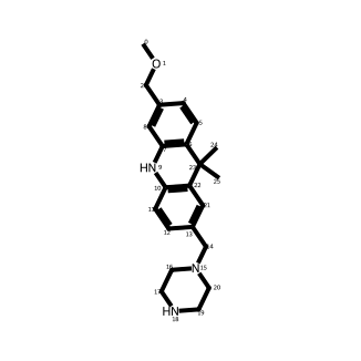 COCc1ccc2c(c1)Nc1ccc(CN3CCNCC3)cc1C2(C)C